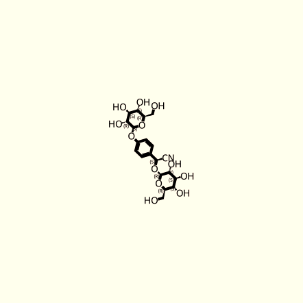 N#C[C@@H](O[C@@H]1O[C@H](CO)[C@@H](O)[C@H](O)[C@H]1O)c1ccc(O[C@@H]2O[C@H](CO)[C@@H](O)[C@H](O)[C@H]2O)cc1